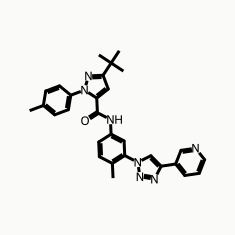 Cc1ccc(-n2nc(C(C)(C)C)cc2C(=O)Nc2ccc(C)c(-n3cc(-c4cccnc4)nn3)c2)cc1